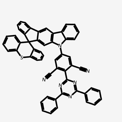 N#Cc1cc(-n2c3ccccc3c3cc4c(cc32)C2(c3ccccc3Sc3ccccc32)c2ccccc2-4)cc(C#N)c1-c1nc(-c2ccccc2)nc(-c2ccccc2)n1